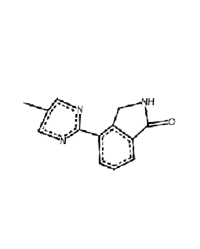 Cc1cnc(-c2cccc3c2CNC3=O)nc1